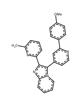 COc1ccc(-c2cc(-c3c(-c4cccc(C)n4)nc4ccccn34)ccn2)cc1